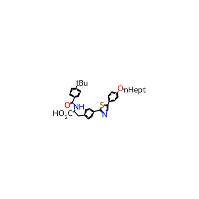 CCCCCCCOc1ccc(-c2cnc(-c3ccc(CC(NC(=O)c4ccc(C(C)(C)C)cc4)C(=O)O)cc3)s2)cc1